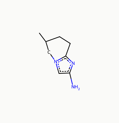 CC1CCc2nc(N)cn2C1